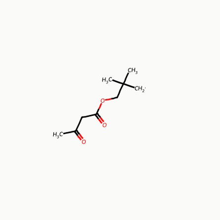 [CH2]C(C)(C)COC(=O)CC(C)=O